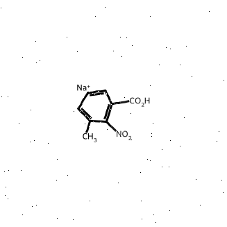 Cc1cccc(C(=O)O)c1[N+](=O)[O-].[Na+]